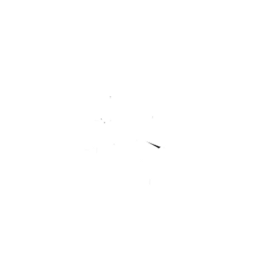 Cl.FC1(F)C[C@@]12CCCNC2